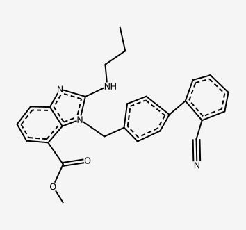 CCCNc1nc2cccc(C(=O)OC)c2n1Cc1ccc(-c2ccccc2C#N)cc1